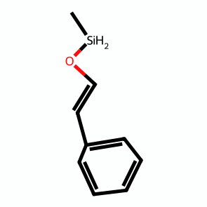 C[SiH2]OC=Cc1ccccc1